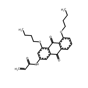 C=CC(=O)Nc1cc(OCCCC)c2c(c1)C(=O)c1cccc(OCCCC)c1C2=O